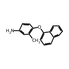 Cc1cc(N)ccc1Oc1cccc2ccccc12